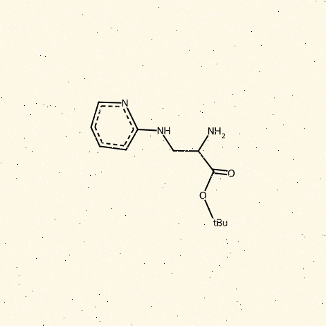 CC(C)(C)OC(=O)C(N)CNc1ccccn1